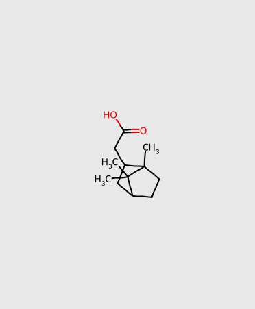 CC1(C)C2CCC1(C)C(CC(=O)O)C2